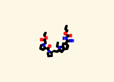 CCCOC(=O)NC(=N)c1ccc2cc(CC[C@@H]3CCCN3C(=O)[C@H]3CCCN3CC(=O)OCC)n(CC)c2c1